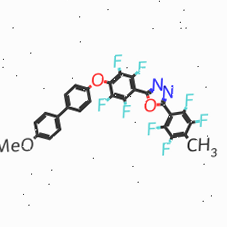 COc1ccc(-c2ccc(Oc3c(F)c(F)c(-c4nnc(-c5c(F)c(F)c(C)c(F)c5F)o4)c(F)c3F)cc2)cc1